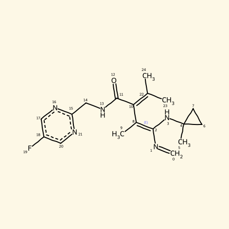 C=N/C(NC1(C)CC1)=C(\C)C(C(=O)NCc1ncc(F)cn1)=C(C)C